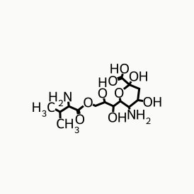 CC(C)C(N)C(=O)OCC(O)C(O)C1OC(O)(C(=O)O)CC(O)C1N